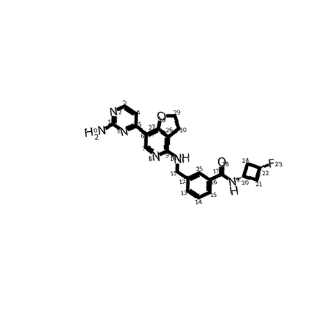 Nc1nccc(-c2cnc(NCc3cccc(C(=O)N[C@H]4C[C@H](F)C4)c3)c3c2OCC3)n1